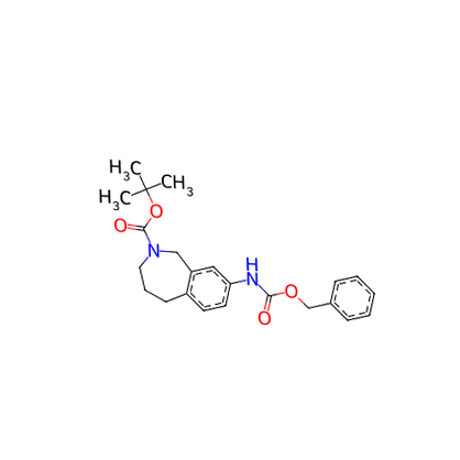 CC(C)(C)OC(=O)N1CCCc2ccc(NC(=O)OCc3ccccc3)cc2C1